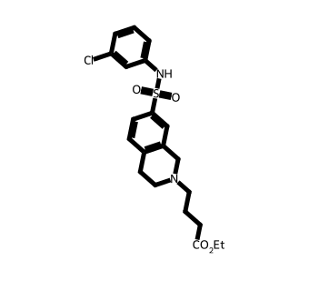 CCOC(=O)CCCN1CCc2ccc(S(=O)(=O)Nc3cccc(Cl)c3)cc2C1